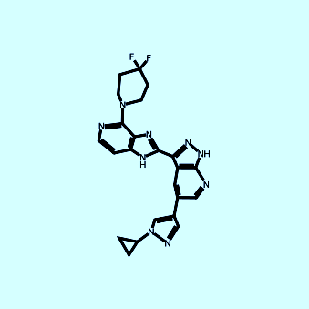 FC1(F)CCN(c2nccc3[nH]c(-c4n[nH]c5ncc(-c6cnn(C7CC7)c6)cc45)nc23)CC1